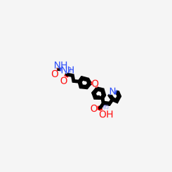 NC(=O)NC(=O)CCc1ccc(Oc2ccc(/C(=C\c3cccnc3)C(=O)O)cc2)cc1